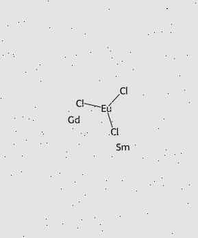 [Cl][Eu]([Cl])[Cl].[Gd].[Sm]